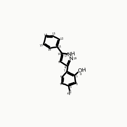 Oc1cc(F)ccc1-c1cc(-c2ccccc2)[nH]n1